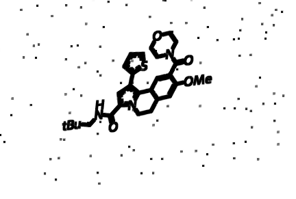 COC1=CC2CCn3c(C(=O)NCC(C)(C)C)cc(-c4cccs4)c3C2C=C1C(=O)N1CCOCC1